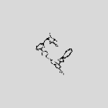 O=C1NC(=O)C(=Cc2ccnc(N3CCC(CNCc4cc(C(F)(F)F)cc(-c5cc6ccccc6o5)n4)CC3)n2)S1